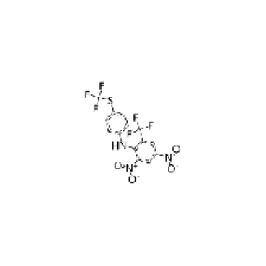 O=[N+]([O-])c1cc([N+](=O)[O-])c(Nc2ccc(SC(F)(F)F)cc2)c(C(F)(F)F)c1